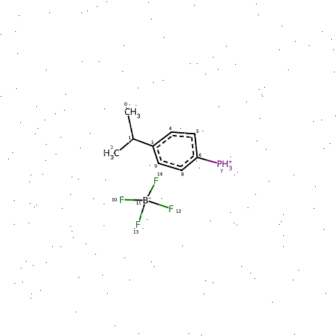 CC(C)c1ccc([PH3+])cc1.F[B-](F)(F)F